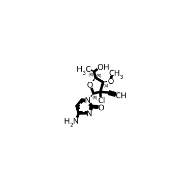 C#CC1(Cl)[C@@H](OC)[C@@H]([C@@H](C)O)O[C@H]1n1ccc(N)nc1=O